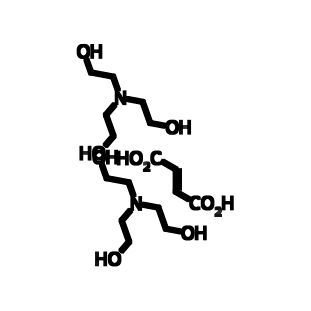 O=C(O)/C=C/C(=O)O.OCCN(CCO)CCO.OCCN(CCO)CCO